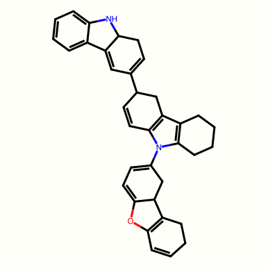 C1=CC2=C(CC1)C1CC(n3c4c(c5c3CCCC5)CC(C3=CCC5Nc6ccccc6C5=C3)C=C4)=CC=C1O2